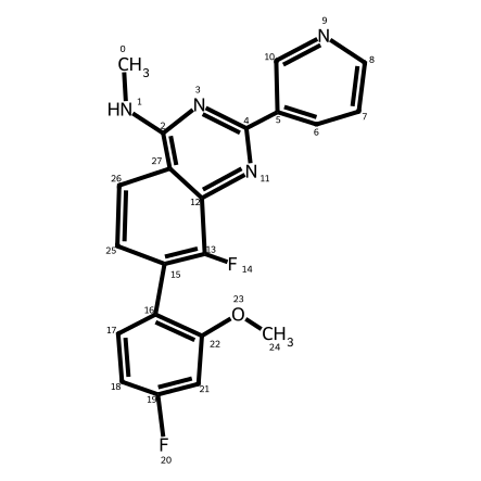 CNc1nc(-c2cccnc2)nc2c(F)c(-c3ccc(F)cc3OC)ccc12